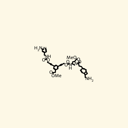 C/C=C(\C=C/C1C(C)CC1CN)CCC(=O)N1CC(NC(=O)OCC#Cc2cc(C#CCOC(=O)NCc3ccnc(N)c3)cc(CC(=O)OC)c2)CC1C(=O)OC